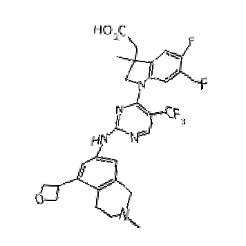 CN1CCc2c(cc(Nc3ncc(C(F)(F)F)c(N4CC(C)(CC(=O)O)c5cc(F)c(F)cc54)n3)cc2C2COC2)C1